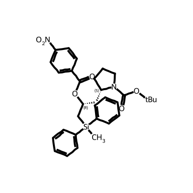 CC(C)(C)OC(=O)N1CCC[C@H]1C[C@H](C[Si](C)(c1ccccc1)c1ccccc1)OC(=O)c1ccc([N+](=O)[O-])cc1